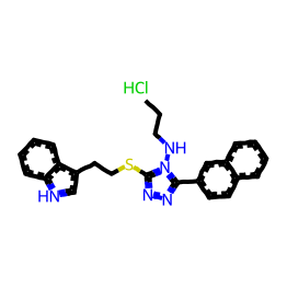 CCCNn1c(SCCc2c[nH]c3ccccc23)nnc1-c1ccc2ccccc2c1.Cl